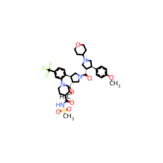 COC[C@H]1CN(C(=O)[C@@H]2CN(C3CCOCC3)C[C@H]2c2ccc(OC)cc2)C[C@@H]1c1ccc(C(F)(F)F)cc1N1CCC(C(=O)NS(C)(=O)=O)CC1